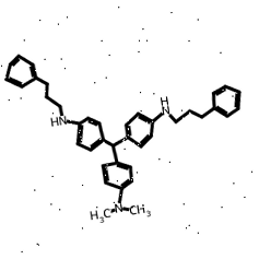 CN(C)c1ccc(C(c2ccc(NCCCc3ccccc3)cc2)c2ccc(NCCCc3ccccc3)cc2)cc1